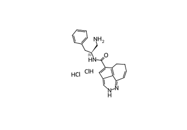 Cl.Cl.NC[C@H](Cc1ccccc1)NC(=O)c1cc2c[nH]nc3c-2c1CCC=C3